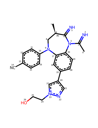 CC(=N)N1C(=N)[C@H](C)CN(c2ccc(C#N)cc2)c2cc(-c3cnn(CCO)c3)ccc21